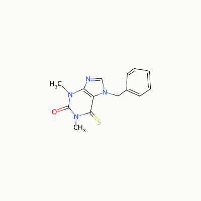 Cn1c(=S)c2c(ncn2Cc2ccccc2)n(C)c1=O